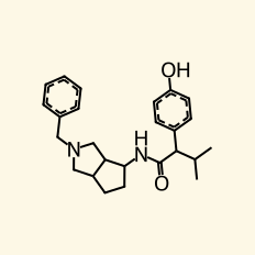 CC(C)C(C(=O)NC1CCC2CN(Cc3ccccc3)CC21)c1ccc(O)cc1